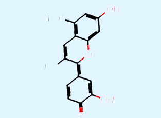 CC1=Cc2c(C)cc(O)cc2O/C1=C1/C=CC(=O)C(O)=C1